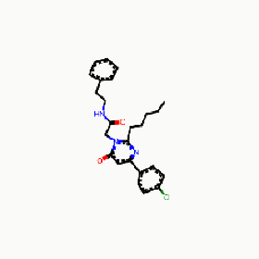 CCCCCc1nc(-c2ccc(Cl)cc2)cc(=O)n1CC(=O)NCCc1ccccc1